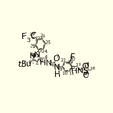 CC(C)(C)c1cc(CNC(=O)Nc2ccc(CNS(C)(=O)=O)c(F)c2)n(-c2cccc(C(F)(F)F)c2)n1